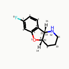 Fc1ccc2c(c1)O[C@H]1CCCN[C@@H]21